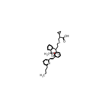 CCCCc1cccc(C=Cc2cccc(C(CCSCC(C(=O)O)C3CC3)c3ccccc3C(C)(C)O)c2)n1